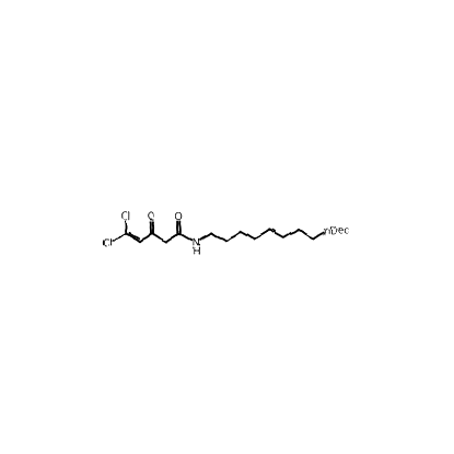 CCCCCCCCCCCCCCCCCCNC(=O)CC(=O)C=C(Cl)Cl